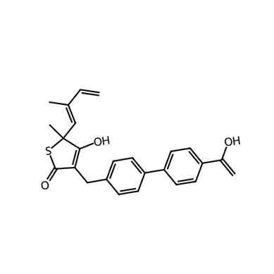 C=C/C(C)=C/C1(C)SC(=O)C(Cc2ccc(-c3ccc(C(=C)O)cc3)cc2)=C1O